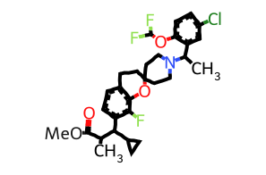 COC(=O)C(C)C(c1ccc2c(c1F)OC1(CC2)CCN(C(C)c2cc(Cl)ccc2OC(F)F)CC1)C1CC1